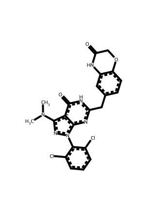 CN(C)c1nn(-c2c(Cl)cccc2Cl)c2nc(Cc3ccc4c(c3)NC(=O)CO4)[nH]c(=O)c12